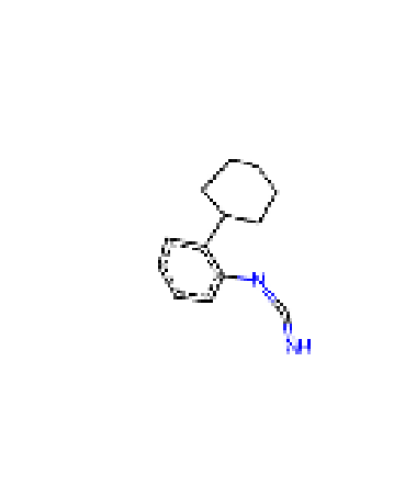 N=C=Nc1ccccc1C1CCCCC1